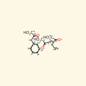 CC(C)C(=O)C(=O)O.CC(C)CC(=O)C(=O)O.O=C(O)C(=O)Cc1ccccc1